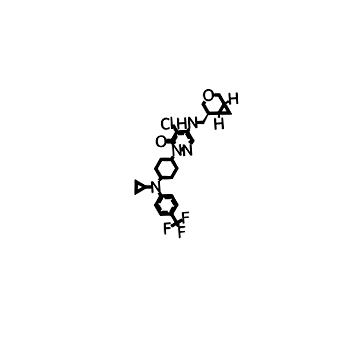 O=c1c(Cl)c(NC[C@H]2COC[C@@H]3C[C@@H]32)cnn1C1CCC(N(c2ccc(C(F)(F)F)cc2)C2CC2)CC1